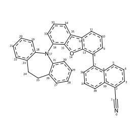 N#Cc1cccc2c(-c3cccc4c3oc3c(N5c6ccccc6CCc6ccccc65)cccc34)cccc12